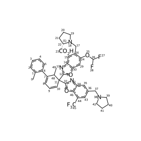 Cc1ccccc1C1=CC=CC(c2nc3cc(CN4CCC[C@H]4C(=O)O)c(OC(F)F)cc3o2)(c2nc3cc(CN4CCCC4)cc(C(F)(F)F)c3o2)C1C